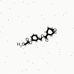 C=CC(=O)OC1CCCC(COC(=O)C2CCC3OC3C2)C1